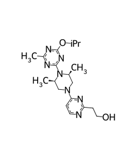 Cc1nc(OC(C)C)nc(N2[C@H](C)CN(c3ccnc(CCO)n3)C[C@@H]2C)n1